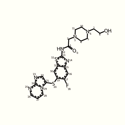 O=C(CN1CCN(CCO)CC1)Nc1nc2cc(F)c(Sc3cnc4ncccn34)cc2s1